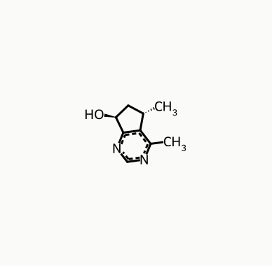 Cc1ncnc2c1[C@@H](C)C[C@@H]2O